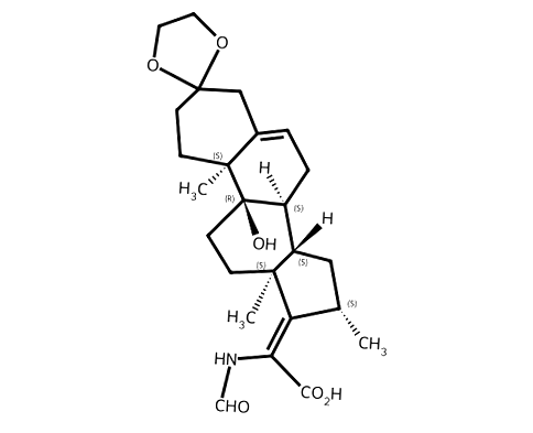 C[C@H]1C[C@H]2[C@@H]3CC=C4CC5(CC[C@]4(C)[C@@]3(O)CC[C@]2(C)C1=C(NC=O)C(=O)O)OCCO5